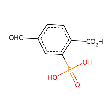 O=Cc1ccc(C(=O)O)c(P(=O)(O)O)c1